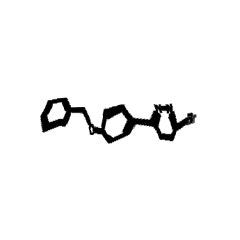 Brc1ccc(-c2ccc(OCc3ccccc3)cc2)nn1